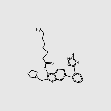 CCCCCCCC(=O)On1c(CN2CCCC2)nc2cc(-c3ccccc3-c3nn[nH]n3)ccc21